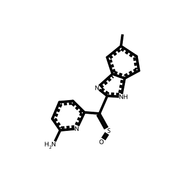 Cc1ccc2[nH]c(C(=S=O)c3cccc(N)n3)nc2c1